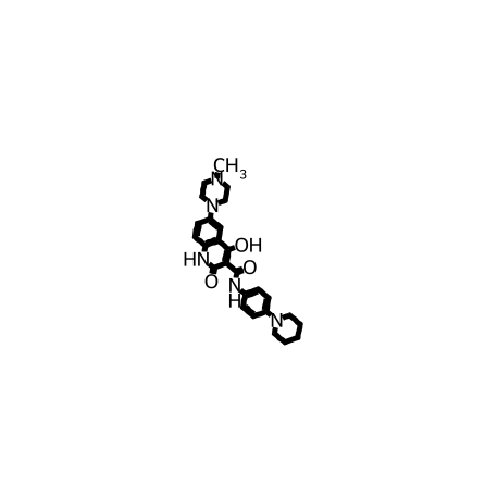 CN1CCN(c2ccc3[nH]c(=O)c(C(=O)Nc4ccc(N5CCCCC5)cc4)c(O)c3c2)CC1